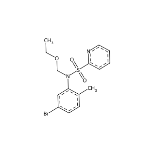 CCOCN(c1cc(Br)ccc1C)S(=O)(=O)c1ccccn1